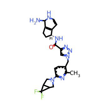 Cc1nc(N2CC3C(C2)C3(F)F)ccc1Cn1cc(C(=O)N[C@@H]2CCC3=C2C=CNC3N)nn1